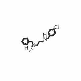 CN(CCCNCc1ccc(Cl)cc1)Cc1ccccc1